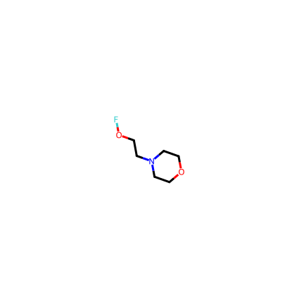 FOCCN1CCOCC1